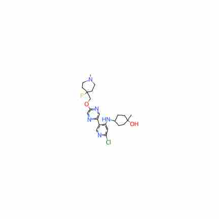 CN1CCC(F)(COc2cnc(-c3cnc(Cl)cc3NC3CCC(C)(O)CC3)cn2)CC1